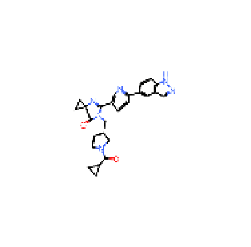 O=C(C1CC1)N1CC[C@@H](CN2C(=O)C3(CC3)N=C2c2ccc(-c3ccc4[nH]ncc4c3)nc2)C1